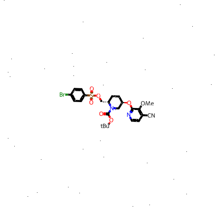 COc1c(C#N)ccnc1O[C@@H]1CC[C@@H](COS(=O)(=O)c2ccc(Br)cc2)N(C(=O)OC(C)(C)C)C1